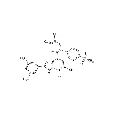 Cc1cc(-c2cc3c(-c4cc(=O)n(C)cc4-c4ccc(S(C)(=O)=O)cc4)cn(C)c(=O)c3[nH]2)cc(C)n1